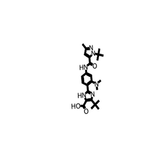 Cc1cc(C(=O)Nc2ccc(-c3nc(C(C)(C)C)c(C(=O)O)[nH]3)c(N(C)C)c2)n(C(C)(C)C)n1